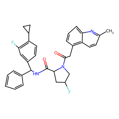 Cc1ccc2c(CC(=O)N3CC(F)CC3C(=O)NC(c3ccccc3)c3ccc(C4CC4)c(F)c3)cccc2n1